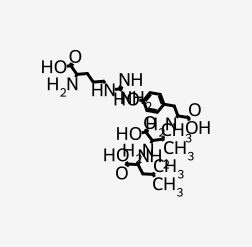 CC(C)C(N)C(=O)O.CC(C)CC(N)C(=O)O.N=C(N)NCCCC(N)C(=O)O.NC(Cc1ccc(O)cc1)C(=O)O